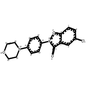 O=c1c2cc(Cl)ccc2on1-c1ccc(N2CCOCC2)cc1